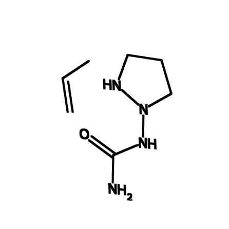 C=CC.NC(=O)NN1CCCN1